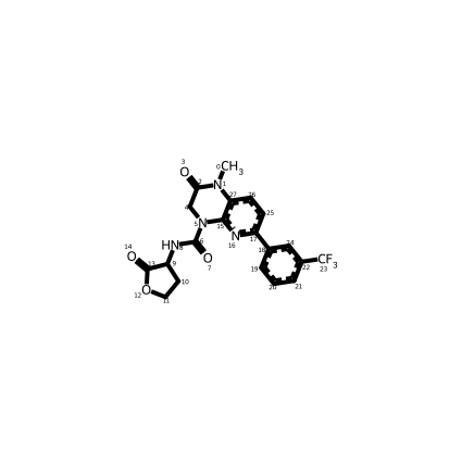 CN1C(=O)CN(C(=O)NC2CCOC2=O)c2nc(-c3cccc(C(F)(F)F)c3)ccc21